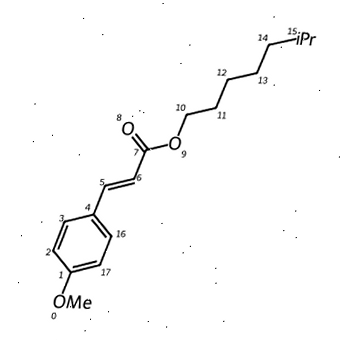 COc1ccc(/C=C/C(=O)OCCCCCC(C)C)cc1